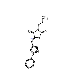 C=CCN1C(=O)/C(=C/c2cnn(-c3ccccc3)c2)SC1=S